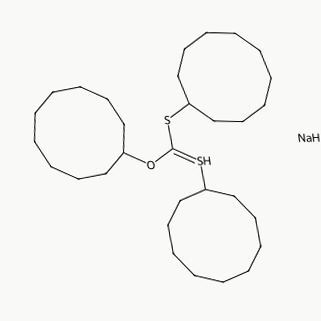 C1CCCCC(OC(SC2CCCCCCCCC2)=[SH]C2CCCCCCCCC2)CCCC1.[NaH]